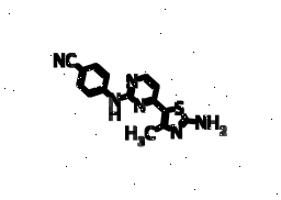 Cc1nc(N)sc1-c1ccnc(Nc2ccc(C#N)cc2)n1